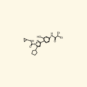 CCC(CC)C(=O)Nc1ccc(-c2cc(C3CCCC3)n(C(=O)NC3CC3)n2)c(O)c1